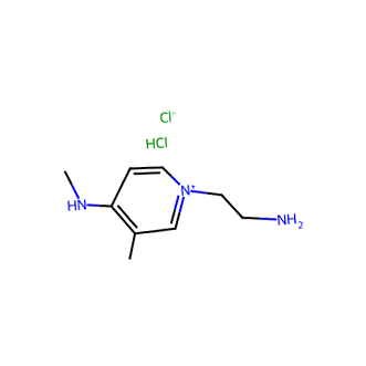 CNc1cc[n+](CCN)cc1C.Cl.[Cl-]